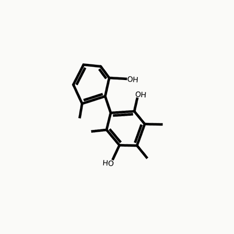 Cc1cccc(O)c1-c1c(C)c(O)c(C)c(C)c1O